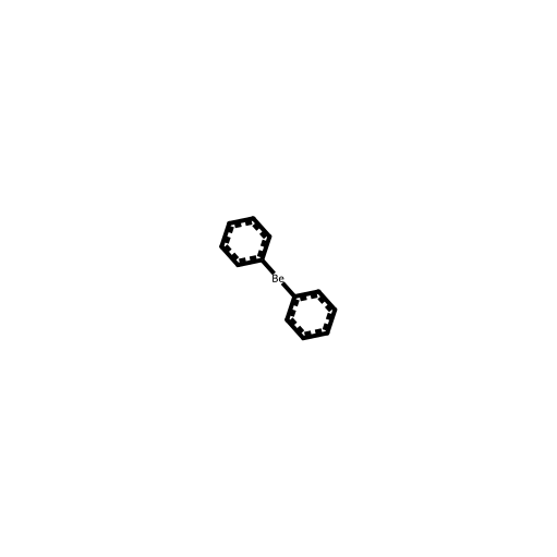 [Be]([c]1ccccc1)[c]1ccccc1